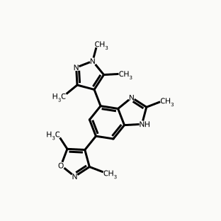 Cc1nc2c(-c3c(C)nn(C)c3C)cc(-c3c(C)noc3C)cc2[nH]1